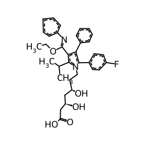 CCO/C(=N\c1ccccc1)c1c(-c2ccccc2)c(-c2ccc(F)cc2)n(CC[C@@H](O)C[C@@H](O)CC(=O)O)c1C(C)C